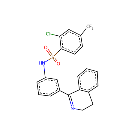 O=S(=O)(Nc1cccc(C2=NCCc3ccccc32)c1)c1ccc(C(F)(F)F)cc1Cl